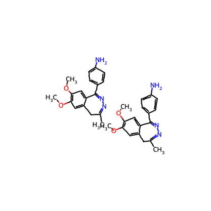 COc1cc2c(cc1OC)C(c1ccc(N)cc1)=NN=C(C)C2.COc1cc2c(cc1OC)C(c1ccc(N)cc1)=NN=C(C)C2